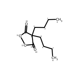 CCCCC1(CCCC)C(=O)OOC1=O